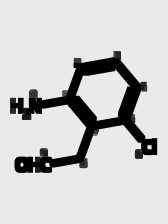 Nc1cccc(Cl)c1CC=O